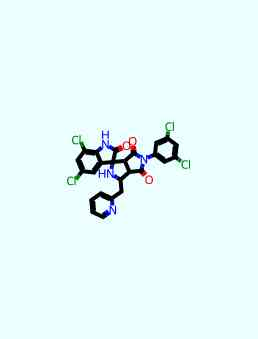 O=C1C2C(Cc3ccccn3)NC3(C(=O)Nc4c(Cl)cc(Cl)cc43)C2C(=O)N1c1cc(Cl)cc(Cl)c1